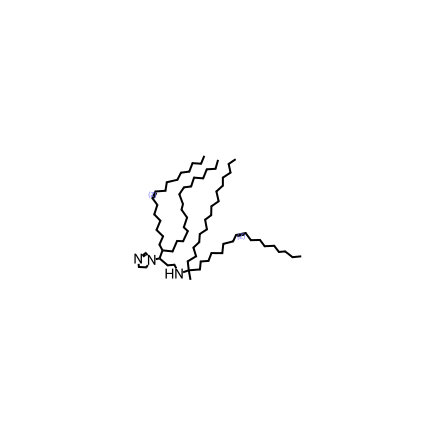 CCCCCCCC/C=C\CCCCCCCC(C)(CCCCCCCCCCCCCCCC)NCCC(C(CCCCCC/C=C\CCCCCCCC)CCCCCCCCCCCCCCCC)N1C=NCC1